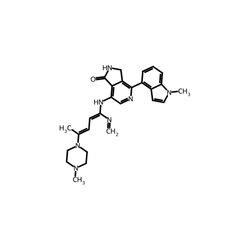 C=N/C(=C\C=C(/C)N1CCN(C)CC1)Nc1cnc(-c2cccc3c2ccn3C)c2c1C(=O)NC2